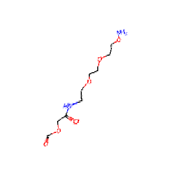 NOCCOCCOCCNC(=O)COC=O